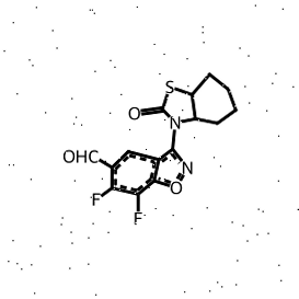 O=Cc1cc2c(N3C(=O)SC4CCCCC43)noc2c(F)c1F